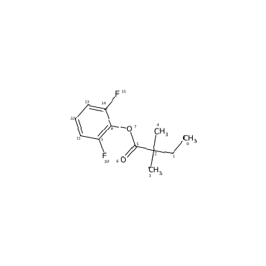 CCC(C)(C)C(=O)Oc1c(F)cccc1F